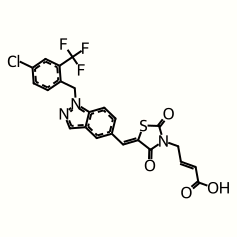 O=C(O)/C=C/CN1C(=O)S/C(=C\c2ccc3c(cnn3Cc3ccc(Cl)cc3C(F)(F)F)c2)C1=O